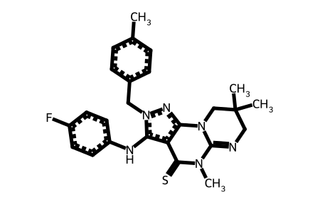 Cc1ccc(Cn2nc3c(c2Nc2ccc(F)cc2)C(=S)N(C)C2=NCC(C)(C)CN23)cc1